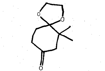 CC1(C)CC(=O)CCC12OCCO2